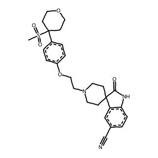 CS(=O)(=O)C1(c2ccc(OCCN3CCC4(CC3)C(=O)Nc3ccc(C#N)cc34)cc2)CCOCC1